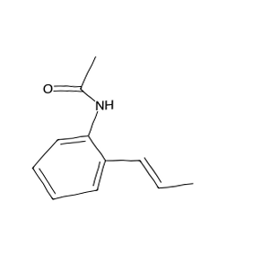 C/C=C/c1ccccc1NC(C)=O